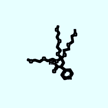 COCCOCCOC(CC(C(=O)O)c1ccncc1)(OCCOCCOC)OCCOCCOC